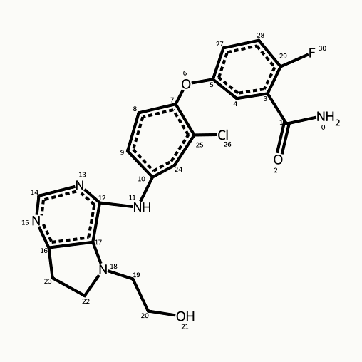 NC(=O)c1cc(Oc2ccc(Nc3ncnc4c3N(CCO)CC4)cc2Cl)ccc1F